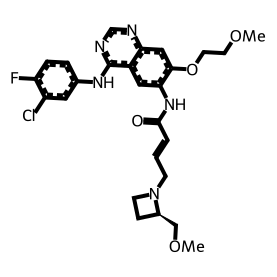 COCCOc1cc2ncnc(Nc3ccc(F)c(Cl)c3)c2cc1NC(=O)C=CCN1CC[C@@H]1COC